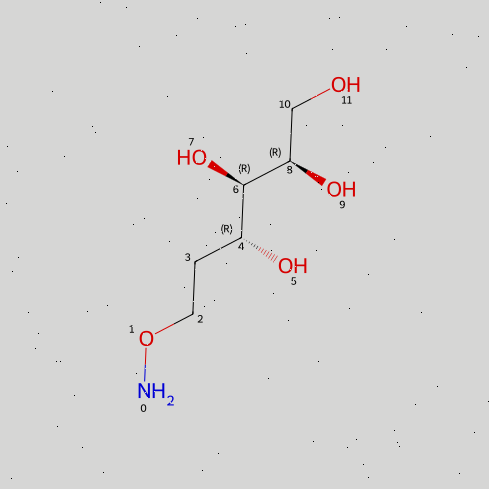 NOCC[C@@H](O)[C@@H](O)[C@H](O)CO